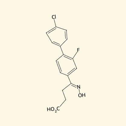 O=C(O)CCC(=NO)c1ccc(-c2ccc(Cl)cc2)c(F)c1